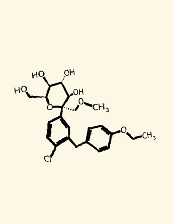 CCOc1ccc(Cc2cc([C@@]3(COC)O[C@@H](CO)[C@@H](O)[C@H](O)[C@H]3O)ccc2Cl)cc1